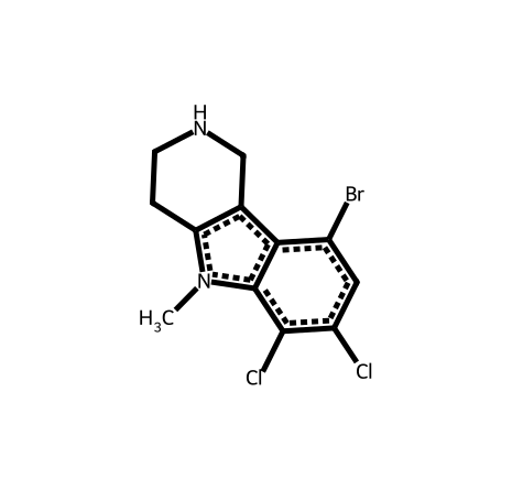 Cn1c2c(c3c(Br)cc(Cl)c(Cl)c31)CNCC2